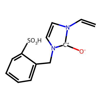 C=Cn1ccn(Cc2ccccc2S(=O)(=O)O)[c+]1[O-]